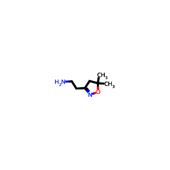 CC1(C)CC(CCN)=NO1